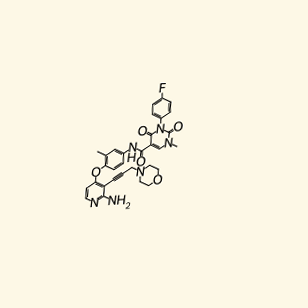 Cc1cc(NC(=O)c2cn(C)c(=O)n(-c3ccc(F)cc3)c2=O)ccc1Oc1ccnc(N)c1C#CCN1CCOCC1